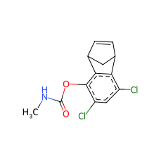 CNC(=O)Oc1c(Cl)cc(Cl)c2c1C1C=CC2C1